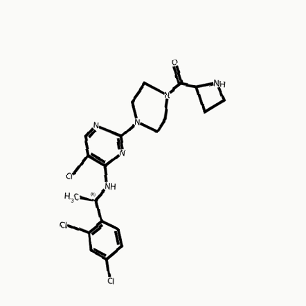 C[C@@H](Nc1nc(N2CCN(C(=O)C3CCN3)CC2)ncc1Cl)c1ccc(Cl)cc1Cl